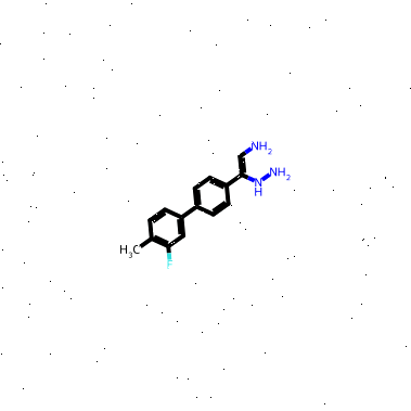 Cc1ccc(-c2ccc(/C(=C/N)NN)cc2)cc1F